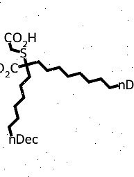 CCCCCCCCCCCCCCCCCCC(CCCCCCCCCCCCCCCC)(SCC(=O)O)C(=O)O